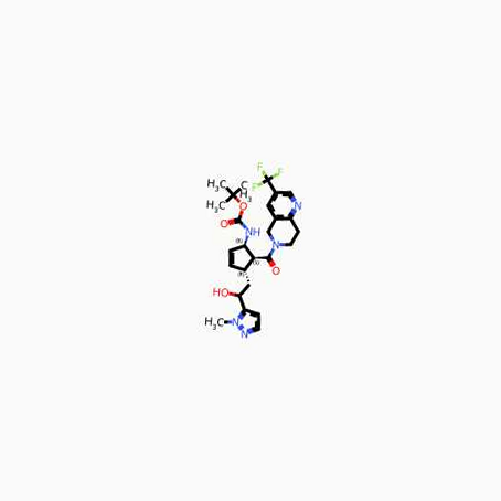 Cn1nccc1C(O)C[C@@H]1C=C[C@@H](NC(=O)OC(C)(C)C)[C@H]1C(=O)N1CCc2ncc(C(F)(F)F)cc2C1